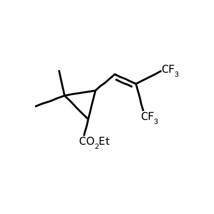 CCOC(=O)C1C(C=C(C(F)(F)F)C(F)(F)F)C1(C)C